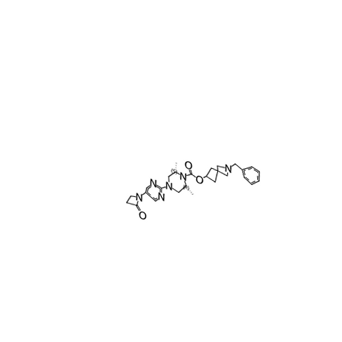 C[C@@H]1CN(c2ncc(N3CCC3=O)cn2)C[C@H](C)N1C(=O)OC1CC2(C1)CN(Cc1ccccc1)C2